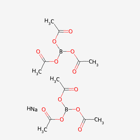 CC(=O)OB(OC(C)=O)OC(C)=O.CC(=O)OB(OC(C)=O)OC(C)=O.[NaH]